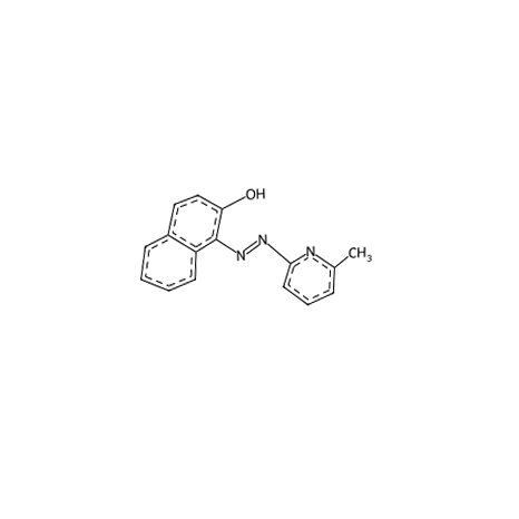 Cc1cccc(N=Nc2c(O)ccc3ccccc23)n1